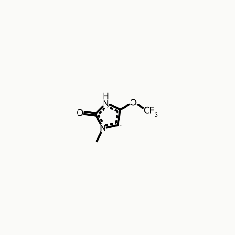 Cn1[c]c(OC(F)(F)F)[nH]c1=O